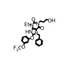 CCn1c2c(c(=O)n(CCCO)c1=O)N(Cc1ccccc1)C(Oc1cccc(OC(F)(F)F)c1)N2